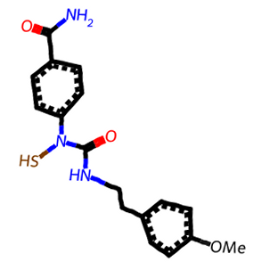 COc1ccc(CCNC(=O)N(S)c2ccc(C(N)=O)cc2)cc1